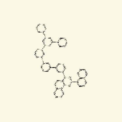 c1ccc(-c2cc(-c3ccccc3)cc(-c3cccc(-c4cccc(-c5cccc(-c6nc(-c7cccc8ccccc78)nc7c6ccc6ccccc67)c5)c4)c3)c2)cc1